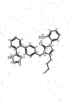 CCCCc1cn(-c2ccccc2O)c(=O)n1Cc1ccc(-c2ccccc2-c2nnn[nH]2)cc1